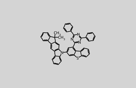 CC1(C)c2ccccc2-c2cc3c4ccccc4n(-c4cc(-c5nc(-c6ccccc6)nc(-c6ccccc6)n5)c5c(c4)sc4ccccc45)c3cc21